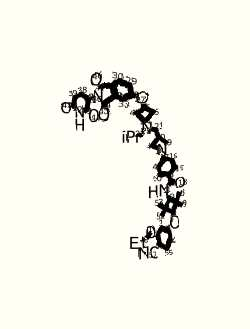 CCOc1cc(OC2C(C)(C)C(NC(=O)c3ccc(N4CC(CN(C(C)C)C5CC(Oc6ccc7c(c6)C(=O)N([C@@H]6CCC(=O)NC6=O)C7=O)C5)C4)cc3)C2(C)C)ccc1C#N